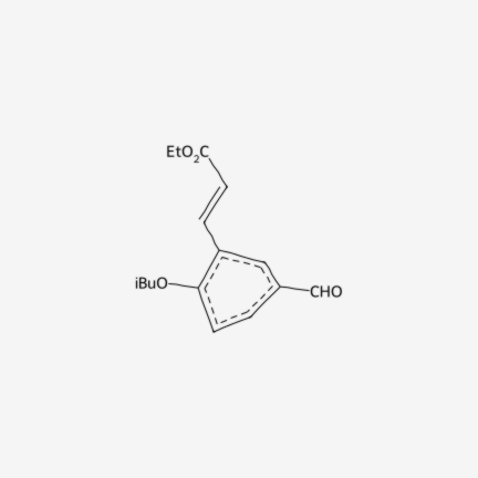 CCOC(=O)C=Cc1cc(C=O)ccc1OCC(C)C